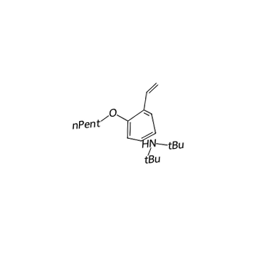 C=Cc1ccccc1OCCCCC.CC(C)(C)NC(C)(C)C